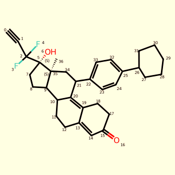 C#CC(F)(F)[C@]1(O)CCC2C3CCC4=CC(=O)CCC4=C3C(c3ccc(C4CCCCC4)cc3)C[C@@]21C